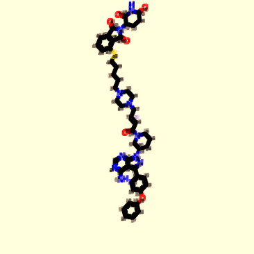 Nc1ncnc2c1c(-c1ccc(Oc3ccccc3)cc1)nn2[C@@H]1CCCN(C(=O)/C=C/CN2CCN(CCCCCSc3cccc4c3C(=O)N(C3CCC(=O)NC3=O)C4=O)CC2)C1